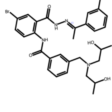 C/C(=N\NC(=O)c1cc(Br)ccc1NC(=O)c1cccc(CN(CC(C)O)CC(C)O)c1)c1cccc(F)c1